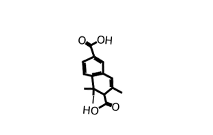 CC1=Cc2cc(C(=O)O)ccc2C(C)(I)C1C(=O)O